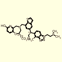 CCOC(=O)C[C@@H](c1cc(CN2Cc3nc(O)ccc3O[C@H](CC)C2)c2sccc2c1)c1ccc2c(nnn2CCN(C)C)c1C